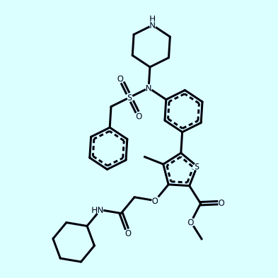 COC(=O)c1sc(-c2cccc(N(C3CCNCC3)S(=O)(=O)Cc3ccccc3)c2)c(C)c1OCC(=O)NC1CCCCC1